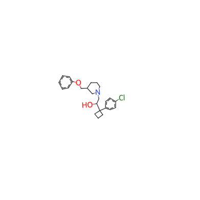 OC(CN1CCCC(COc2ccccc2)C1)C1(c2ccc(Cl)cc2)CCC1